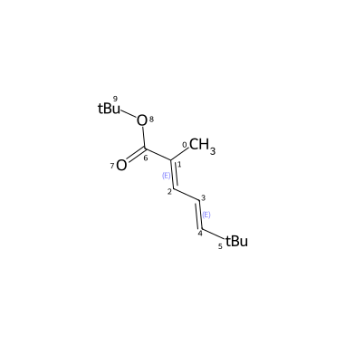 C/C(=C\C=C\C(C)(C)C)C(=O)OC(C)(C)C